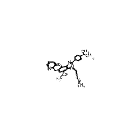 COCCn1c(-c2ccc(C(C)C)cc2)nc2c(Br)c(Cc3ccccn3)cc(OC)c21